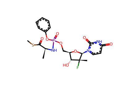 CSC(=O)[C@H](C)NP(=O)(OC[C@H]1O[C@@H](n2ccc(=O)[nH]c2=O)[C@](C)(F)[C@@H]1O)Oc1ccccc1